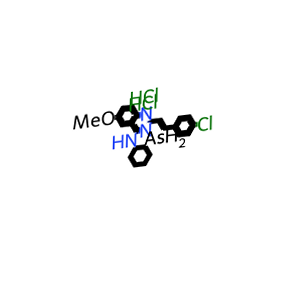 COc1ccc2nc(C=Cc3ccc(Cl)cc3)nc(NC3CCCCC3[AsH2])c2c1.Cl.Cl